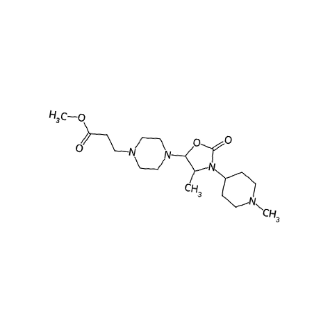 COC(=O)CCN1CCN(C2OC(=O)N(C3CCN(C)CC3)C2C)CC1